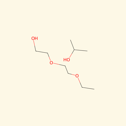 CC(C)O.CCOCCOCCO